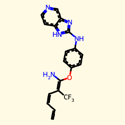 C=C/C=C\C(=C(/N)Oc1ccc(Nc2nc3cnccc3[nH]2)cc1)C(F)(F)F